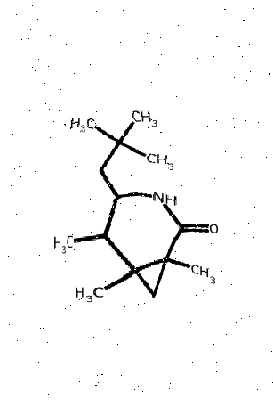 CC1C(CC(C)(C)C)NC(=O)C2(C)CC12C